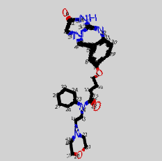 O=C1CN2Cc3cc(OCCCC(=O)N(CCN4CCOCC4)C4CCCCC4)ccc3N=C2N1